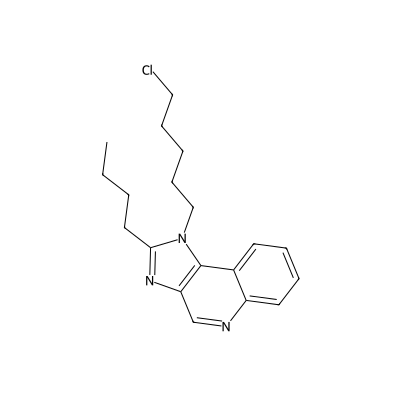 CCCCc1nc2cnc3ccccc3c2n1CCCCCCl